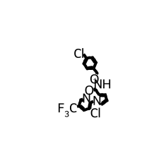 O=C(NOCc1ccc(Cl)cc1)c1cccn1-c1ncc(C(F)(F)F)cc1Cl